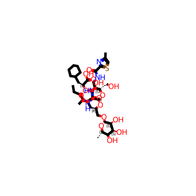 CCCCC(C[C@H](COC1O[C@@H](C)C(O)[C@H](O)[C@@H]1O)O[C@@H]1O[C@@H](CO)[C@H](O)C(O[C@@H](CC2CCCCC2)C(=O)O)C1NC(C)=O)C(=O)NCCNC(=O)c1nc(C)cs1